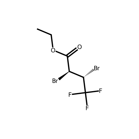 CCOC(=O)[C@H](Br)[C@H](Br)C(F)(F)F